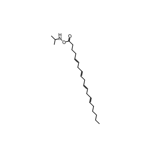 CCCCCC=CCC=CCC=CCC=CCCCC(=O)ONC(C)C